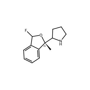 C[C@]1(C2CCCN2)OC(F)c2ccccc21